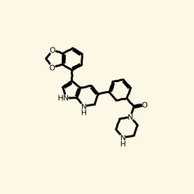 O=C(C1C=CC=C(C2=Cc3c(-c4cccc5c4OCO5)c[nH]c3NC2)C1)N1CCNCC1